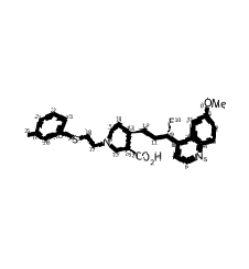 COc1ccc2nccc([C@@H](F)CC[C@@H]3CCN(CCSc4cccc(C)c4)C[C@@H]3C(=O)O)c2c1